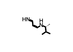 CC(C)[C@@H](C)N/C=C\C=N